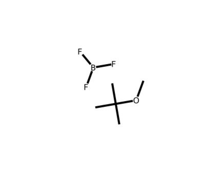 COC(C)(C)C.FB(F)F